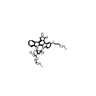 CCCOc1ccc2c(c1)c1c3c(c4c5ccccc5n5c4c1n2[C@H]1C[C@@H](C(=O)OOC)[C@]5(C)O1)CNC3=O